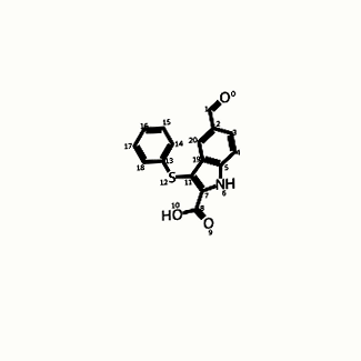 O=Cc1ccc2[nH]c(C(=O)O)c(Sc3ccccc3)c2c1